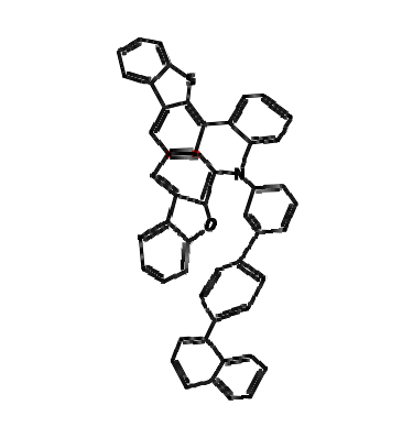 c1cc(-c2ccc(-c3cccc4ccccc34)cc2)cc(N(c2ccccc2-c2cccc3c2sc2ccccc23)c2cccc3c2oc2ccccc23)c1